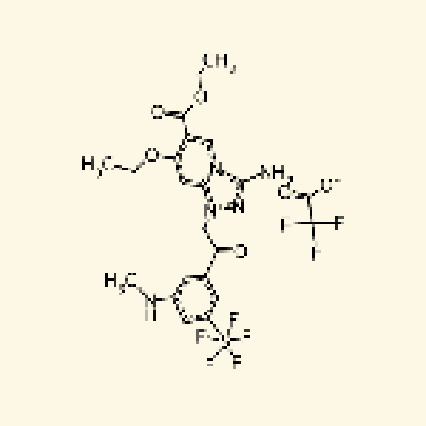 CCOC(=O)c1cn2c(N)n[n+](CC(=O)c3cc(NC)cc(S(F)(F)(F)(F)F)c3)c2cc1OCC.O=C([O-])C(F)(F)F